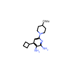 COC1CCN(c2cc(C3CCC3)c(N)c(N)n2)CC1